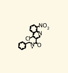 CN(Cc1ccccc1)C(=O)c1cnc2c([N+](=O)[O-])cccc2c1Cl